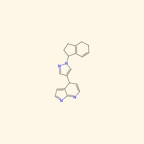 C1=CC2=C(CC1)CCC2n1cc(C2C=CN=C3N=CC=C32)cn1